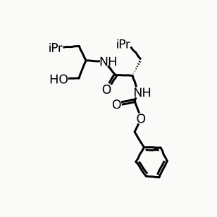 CC(C)CC(CO)NC(=O)[C@H](CC(C)C)NC(=O)OCc1ccccc1